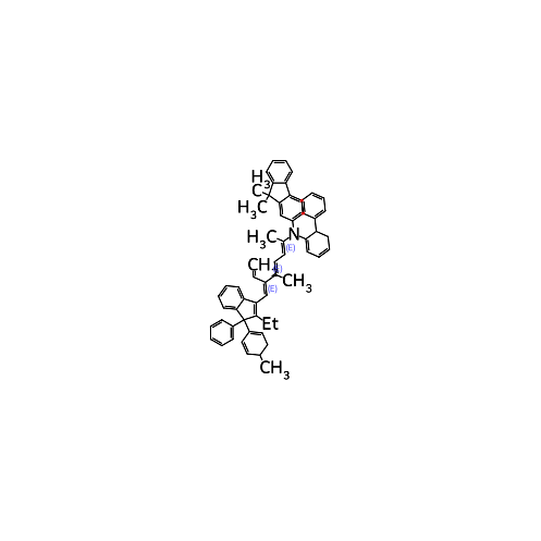 C=CC(=C\C1=C(CC)C(C2=CCC(C)C=C2)(c2ccccc2)c2ccccc21)/C(C)=C/C=C(\C)N(C1=CC=CCC1c1ccccc1)c1ccc2c(c1)C(C)(C)c1ccccc1-2